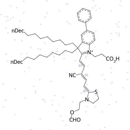 CCCCCCCCCCCCCCCCCCC1(CCCCCCCCCCCCCCCCCC)C(/C=C/C(C#N)=C/C=C2\SCCN2CCOC=O)=[N+](CCC(=O)O)c2ccc(-c3ccccc3)cc21